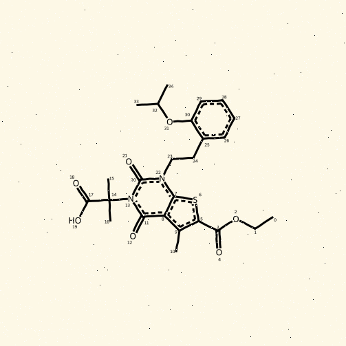 CCOC(=O)c1sc2c(c1C)c(=O)n(C(C)(C)C(=O)O)c(=O)n2CCc1ccccc1OC(C)C